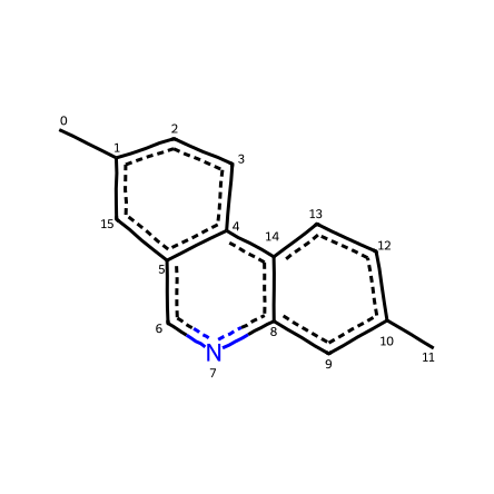 Cc1ccc2c(cnc3cc(C)ccc32)c1